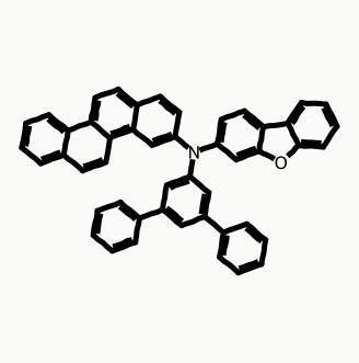 c1ccc(-c2cc(-c3ccccc3)cc(N(c3ccc4c(c3)oc3ccccc34)c3ccc4ccc5c6ccccc6ccc5c4c3)c2)cc1